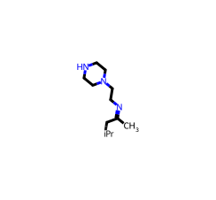 CC(CC(C)C)=NCCN1CCNCC1